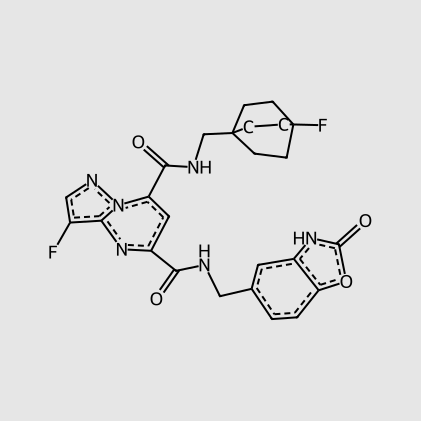 O=C(NCc1ccc2oc(=O)[nH]c2c1)c1cc(C(=O)NCC23CCC(F)(CC2)CC3)n2ncc(F)c2n1